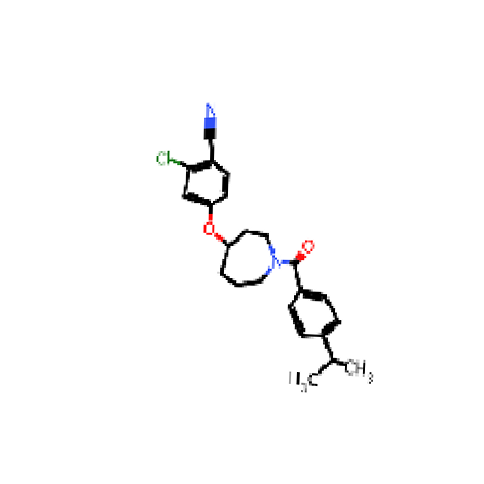 CC(C)c1ccc(C(=O)N2CCCC(Oc3ccc(C#N)c(Cl)c3)CC2)cc1